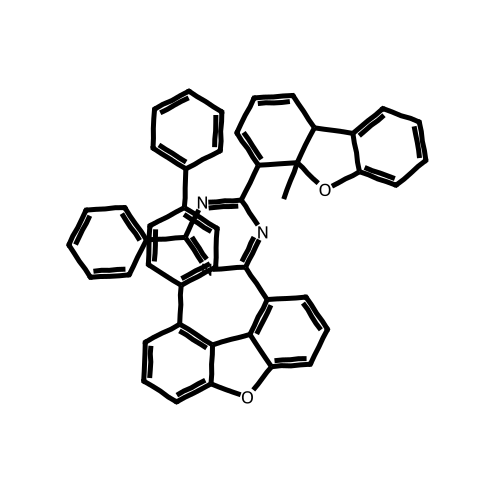 CC12Oc3ccccc3C1C=CC=C2c1nc(-c2ccccc2)nc(-c2cccc3oc4cccc(-c5ccc(-c6ccccc6)cc5)c4c23)n1